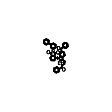 CCc1c(/C=C\CC(=O)c2ccccc2)c2ccc(C(=O)c3ccccc3)cc2n1-c1cccc2c1C(=O)N(c1cccc(-c3ccccc3)c1)C2=O